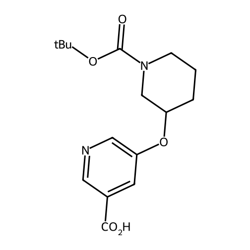 CC(C)(C)OC(=O)N1CCCC(Oc2cncc(C(=O)O)c2)C1